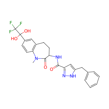 CN1C(=O)C(NC(=O)c2cc(Cc3ccccc3)[nH]n2)CCc2cc(C(O)(O)C(F)(F)F)ccc21